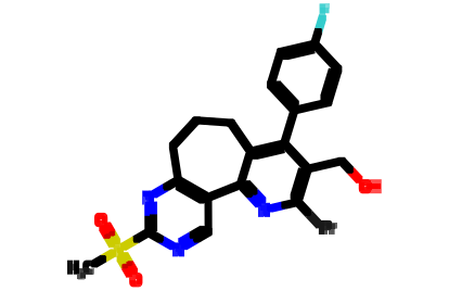 CC(C)c1nc2c(c(-c3ccc(F)cc3)c1CO)CCCc1nc(S(C)(=O)=O)ncc1-2